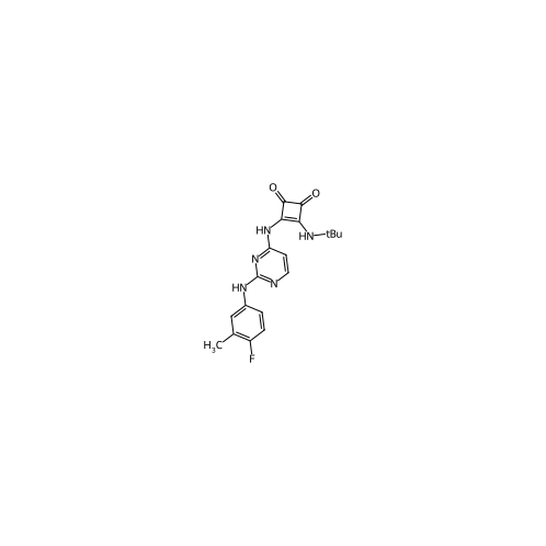 Cc1cc(Nc2nccc(Nc3c(NC(C)(C)C)c(=O)c3=O)n2)ccc1F